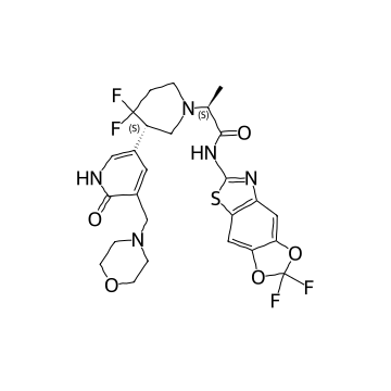 C[C@@H](C(=O)Nc1nc2cc3c(cc2s1)OC(F)(F)O3)N1CCC(F)(F)[C@@H](c2c[nH]c(=O)c(CN3CCOCC3)c2)C1